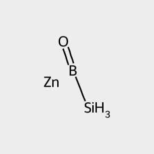 O=B[SiH3].[Zn]